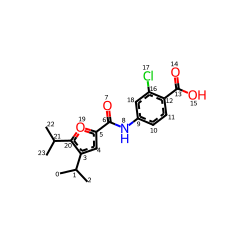 CC(C)c1cc(C(=O)Nc2ccc(C(=O)O)c(Cl)c2)oc1C(C)C